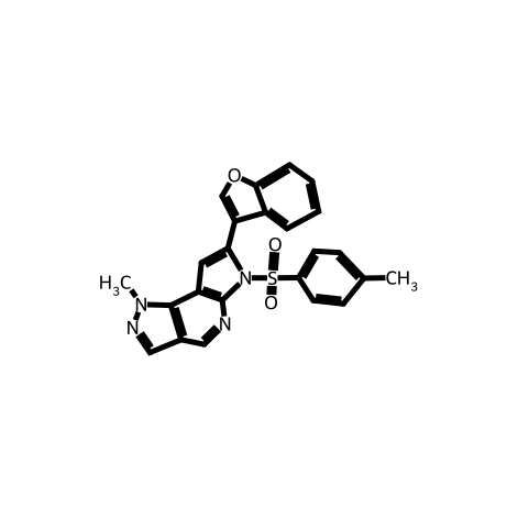 Cc1ccc(S(=O)(=O)n2c(-c3coc4ccccc34)cc3c4c(cnc32)cnn4C)cc1